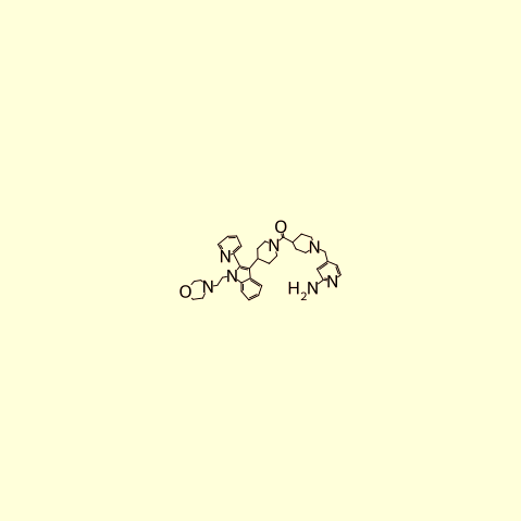 Nc1cc(CN2CCC(C(=O)N3CCC(c4c(-c5ccccn5)n(CCN5CCOCC5)c5ccccc45)CC3)CC2)ccn1